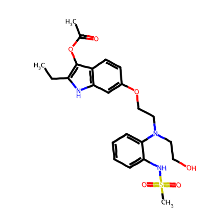 CCc1[nH]c2cc(OCCN(CCO)c3ccccc3NS(C)(=O)=O)ccc2c1OC(C)=O